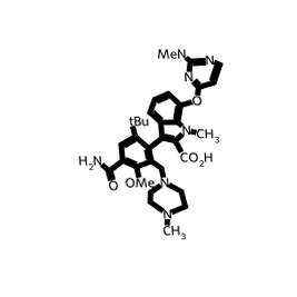 CNc1nccc(Oc2cccc3c(-c4c(C(C)(C)C)cc(C(N)=O)c(OC)c4CN4CCN(C)CC4)c(C(=O)O)n(C)c23)n1